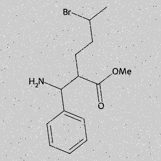 COC(=O)C(CCC(C)Br)C(N)c1ccccc1